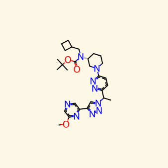 COc1cncc(-c2cn(C(C)c3ccc(N4CCC[C@@H](N(CC5CCC5)C(=O)OC(C)(C)C)C4)nn3)nn2)n1